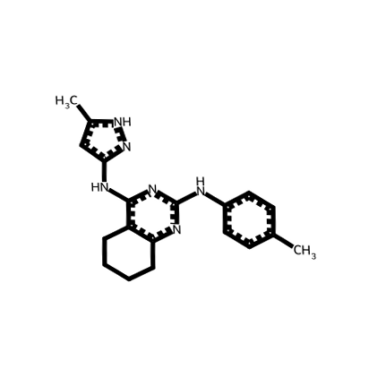 Cc1ccc(Nc2nc3c(c(Nc4cc(C)[nH]n4)n2)CCCC3)cc1